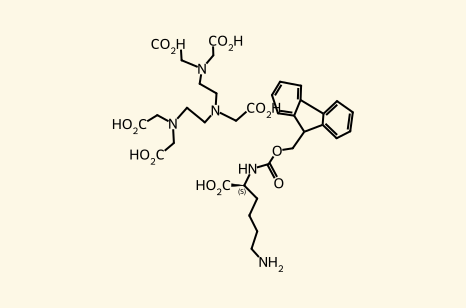 NCCCC[C@H](NC(=O)OCC1c2ccccc2-c2ccccc21)C(=O)O.O=C(O)CN(CCN(CC(=O)O)CC(=O)O)CCN(CC(=O)O)CC(=O)O